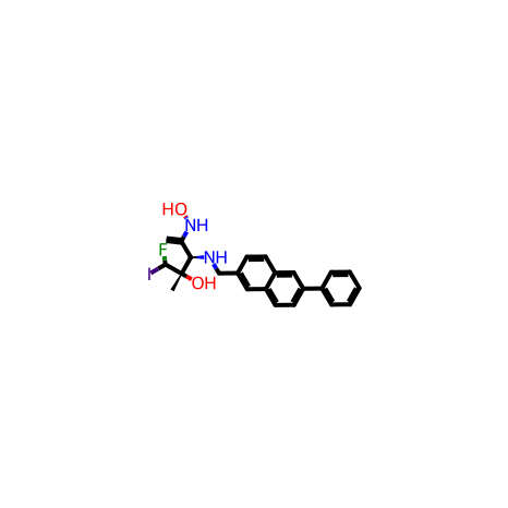 C=C(NO)[C@@H](NCc1ccc2cc(-c3ccccc3)ccc2c1)[C@](C)(O)C(F)I